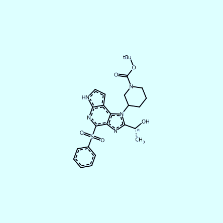 C[C@@H](O)c1nc2c(S(=O)(=O)c3ccccc3)nc3[nH]ccc3c2n1C1CCCN(C(=O)OC(C)(C)C)C1